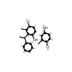 Cc1c(Cl)ccc(O)c1C(C)c1ccccc1.Cc1cc(O)ccc1Cl